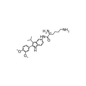 COc1ccc(-c2[nH]c3ccc(NC(=O)[C@@H](N)CCCCN)cc3c2C(C)C)cc1OC